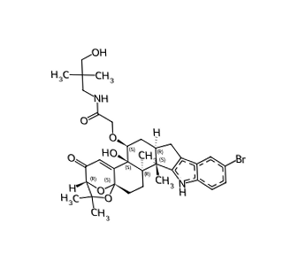 CC(C)(CO)CNC(=O)CO[C@H]1C[C@H]2Cc3c([nH]c4ccc(Br)cc34)[C@]2(C)[C@@]2(C)CC[C@@]34O[C@@H](C(=O)C=C3[C@]12O)C(C)(C)O4